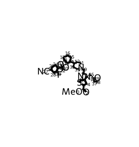 COC(=O)c1cc2c(nc(CN3CCC(c4cccc5c4OC(C)(c4ccc(C#N)cc4F)O5)CC3)n2C[C@@H]2CCO2)s1